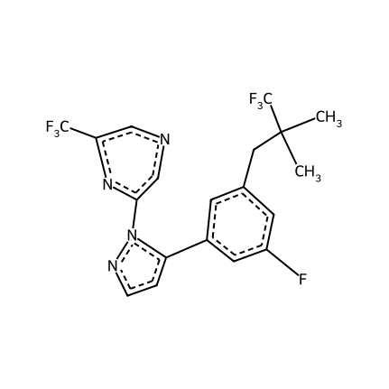 CC(C)(Cc1cc(F)cc(-c2ccnn2-c2cncc(C(F)(F)F)n2)c1)C(F)(F)F